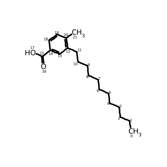 CCCCCCCCCCCCc1cc(C(=O)O)ccc1C